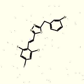 Fc1cc(F)c(/C=C/c2nnc(Cc3cccc(Br)c3)o2)c(Cl)c1